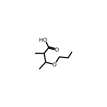 CCCOC(C)C(C)C(=O)O